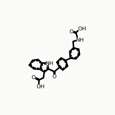 O=C(O)Cc1c(C(=O)c2ccc(-c3cccc(CNC(=O)O)c3)cc2)[nH]c2ccccc12